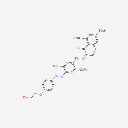 COc1cc(/N=N/c2ccc(OCCO)cc2)c(C)cc1N/N=C1/C=Cc2cc(S(=O)(=O)O)cc(NC(C)=O)c2C1=O